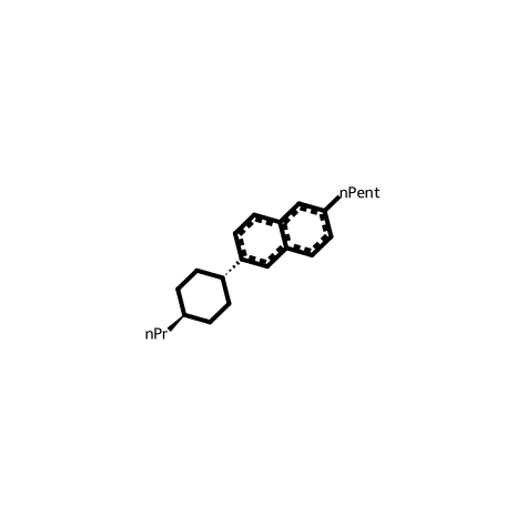 CCCCCc1ccc2cc([C@H]3CC[C@H](CCC)CC3)ccc2c1